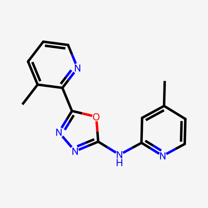 Cc1ccnc(Nc2nnc(-c3ncccc3C)o2)c1